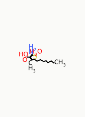 CCCCCCCCc1sc(N)c(C(=O)O)c1C.O